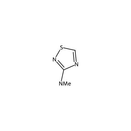 CNc1ncsn1